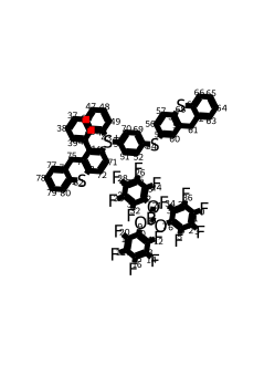 Fc1c(F)c(F)c(OB(Oc2c(F)c(F)c(F)c(F)c2F)Oc2c(F)c(F)c(F)c(F)c2F)c(F)c1F.c1ccc(-c2c([S+](c3ccccc3)c3ccc(Sc4ccc5c(c4)Cc4ccccc4S5)cc3)ccc3c2Cc2ccccc2S3)cc1